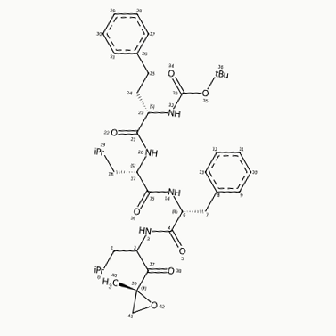 CC(C)CC(NC(=O)[C@@H](Cc1ccccc1)NC(=O)[C@H](CC(C)C)NC(=O)[C@H](CCc1ccccc1)NC(=O)OC(C)(C)C)C(=O)[C@@]1(C)CO1